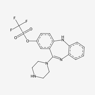 O=S(=O)(Oc1ccc2c(c1)C(N1CCNCC1)=Nc1ccccc1N2)C(F)(F)F